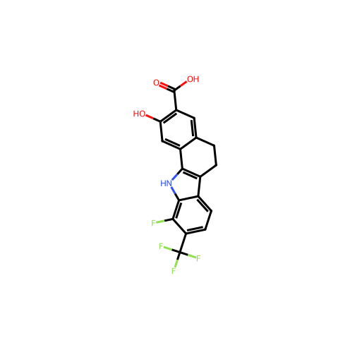 O=C(O)c1cc2c(cc1O)-c1[nH]c3c(F)c(C(F)(F)F)ccc3c1CC2